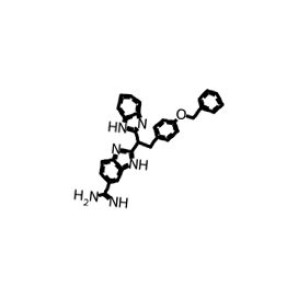 N=C(N)c1ccc2nc(C(Cc3ccc(OCc4ccccc4)cc3)c3nc4ccccc4[nH]3)[nH]c2c1